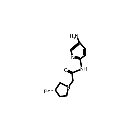 Nc1ccc(NC(=O)CN2CC[C@H](F)C2)nc1